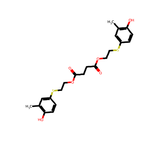 Cc1cc(SCCOC(=O)CCC(=O)OCCSc2ccc(O)c(C)c2)ccc1O